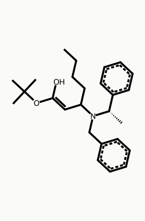 CCCCC(/C=C(\O)OC(C)(C)C)N(Cc1ccccc1)[C@@H](C)c1ccccc1